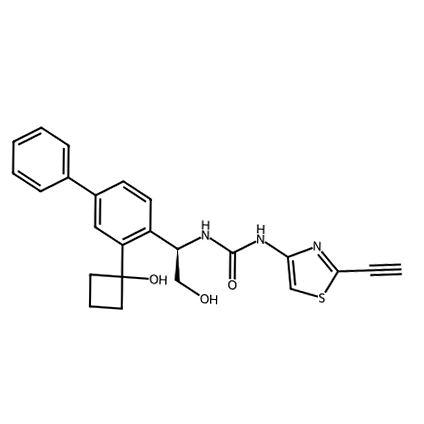 C#Cc1nc(NC(=O)N[C@@H](CO)c2ccc(-c3ccccc3)cc2C2(O)CCC2)cs1